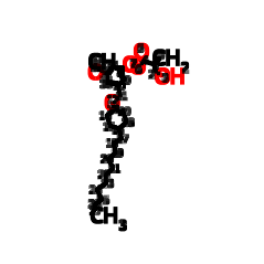 C=C(CO)C(=O)OOc1cc(COC2CCC(CCCCCCCCCCC)CC2)cc(OC)c1